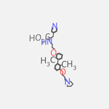 Cc1c(OCCCNC(Cc2ccncc2)C(=O)O)cccc1-c1cccc(OCCCN2CCCC2)c1C